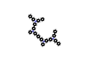 c1ccc(-c2ccc(N(c3ccc(-c4ccccc4)cc3)c3ccc(-c4ccc(N(c5ccccc5)c5ccc(-c6ccc(-c7ccc(N(c8ccccc8)c8ccc(-c9ccc(N(c%10ccc(-c%11ccccc%11)cc%10)c%10ccc(-c%11ccccc%11)cc%10)cc9)cc8)cc7)cc6)cc5)cc4)cc3)cc2)cc1